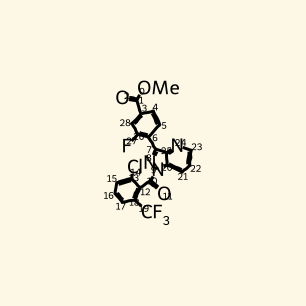 COC(=O)c1ccc(-c2nn(C(=O)c3c(Cl)cccc3C(F)(F)F)c3cccnc23)c(F)c1